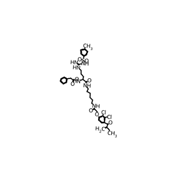 C=C(CC)C(=O)c1ccc(OCC(=O)NCCCCCCNC(=O)C(CCCNC(=N)NS(=O)(=O)c2ccc(C)cc2)NOC(=O)Cc2ccccc2)c(Cl)c1Cl